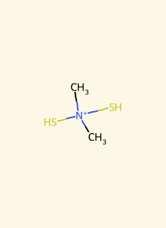 C[N+](C)(S)S